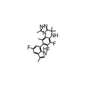 Cc1c(-c2cc(F)cc3c(C)c[nH]c23)c(F)c(F)c2c1-n1c(C)nnc1C(C)(C)N2